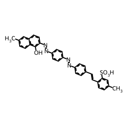 Cc1ccc(C=Cc2ccc(N=Nc3ccc(N=Nc4ccc5cc(C)ccc5c4O)cc3)cc2)c(S(=O)(=O)O)c1